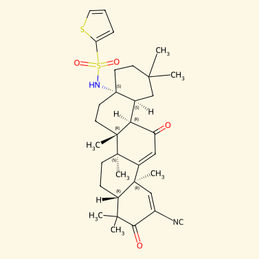 [C-]#[N+]C1=C[C@]2(C)C3=CC(=O)[C@@H]4[C@@H]5CC(C)(C)CC[C@]5(NS(=O)(=O)c5cccs5)CC[C@@]4(C)[C@]3(C)CC[C@H]2C(C)(C)C1=O